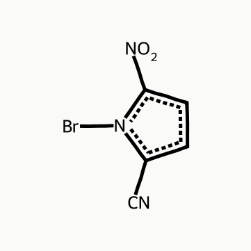 N#Cc1ccc([N+](=O)[O-])n1Br